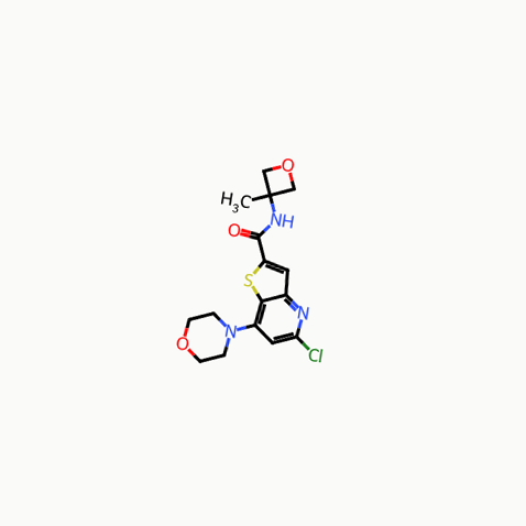 CC1(NC(=O)c2cc3nc(Cl)cc(N4CCOCC4)c3s2)COC1